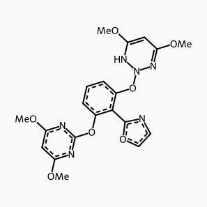 COC1=CC(OC)=NN(Oc2cccc(Oc3nc(OC)cc(OC)n3)c2-c2ncco2)N1